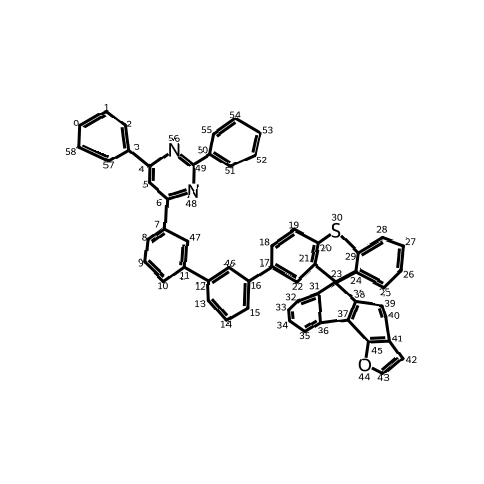 c1ccc(-c2cc(-c3cccc(-c4cccc(-c5ccc6c(c5)C5(c7ccccc7S6)c6ccccc6-c6c5ccc5ccoc65)c4)c3)nc(-c3ccccc3)n2)cc1